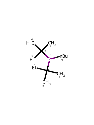 CCCCP(C(C)(C)CC)C(C)(C)CC